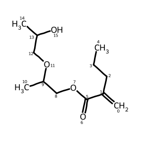 C=C(CCC)C(=O)OCC(C)OCC(C)O